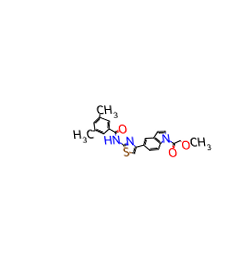 COCC(=O)n1ccc2cc(-c3csc(NC(=O)c4cc(C)cc(C)c4)n3)ccc21